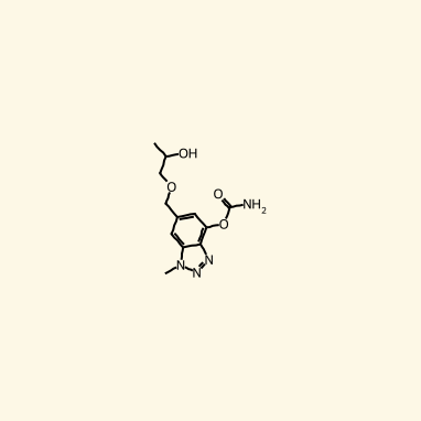 CC(O)COCc1cc(OC(N)=O)c2nnn(C)c2c1